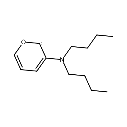 CCCCN(CCCC)C1=CC=CO[C]1